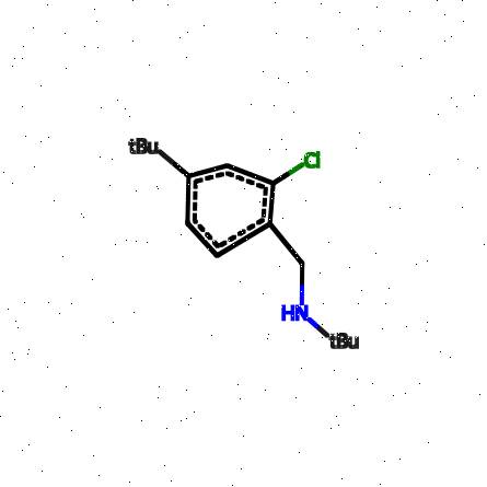 CC(C)(C)NCc1ccc(C(C)(C)C)cc1Cl